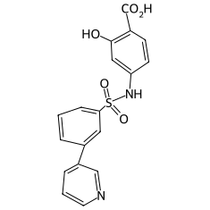 O=C(O)c1ccc(NS(=O)(=O)c2cccc(-c3cccnc3)c2)cc1O